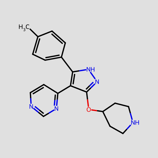 Cc1ccc(-c2[nH]nc(OC3CCNCC3)c2-c2ccncn2)cc1